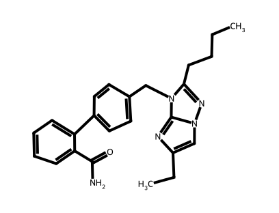 CCCCc1nn2cc(CC)nc2n1Cc1ccc(-c2ccccc2C(N)=O)cc1